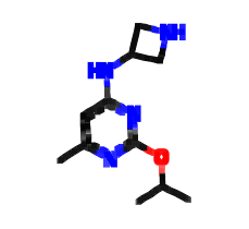 Cc1cc(NC2CNC2)nc(OC(C)C)n1